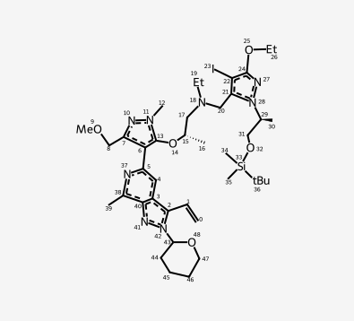 C=Cc1c2cc(-c3c(COC)nn(C)c3O[C@@H](C)CN(CC)Cc3c(I)c(OCC)nn3[C@@H](C)CO[Si](C)(C)C(C)(C)C)nc(C)c2nn1C1CCCCO1